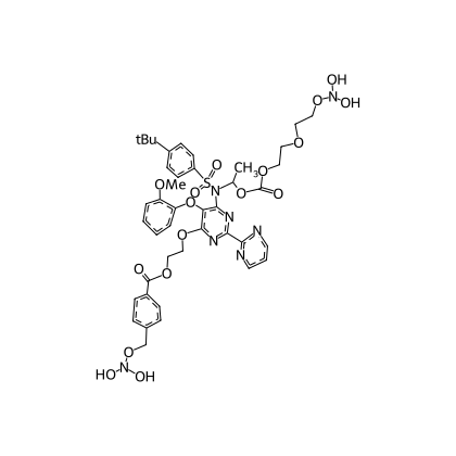 COc1ccccc1Oc1c(OCCOC(=O)c2ccc(CON(O)O)cc2)nc(-c2ncccn2)nc1N(C(C)OC(=O)OCCOCCON(O)O)S(=O)(=O)c1ccc(C(C)(C)C)cc1